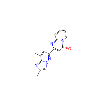 Cc1cn2nc(-c3cc(=O)n4ccccc4n3)cc(C)c2n1